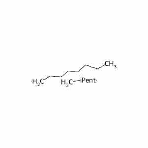 CCC[C](C)C.[CH2]CCCCCCC